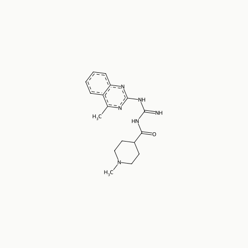 Cc1nc(NC(=N)NC(=O)C2CCN(C)CC2)nc2ccccc12